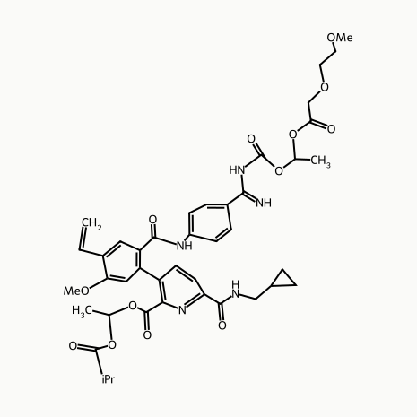 C=Cc1cc(C(=O)Nc2ccc(C(=N)NC(=O)OC(C)OC(=O)COCCOC)cc2)c(-c2ccc(C(=O)NCC3CC3)nc2C(=O)OC(C)OC(=O)C(C)C)cc1OC